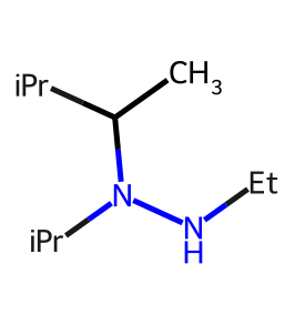 CCNN(C(C)C)C(C)C(C)C